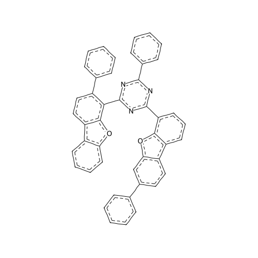 c1ccc(-c2ccc3c(c2)oc2c(-c4nc(-c5ccccc5)nc(-c5c(-c6ccccc6)ccc6c5oc5ccccc56)n4)cccc23)cc1